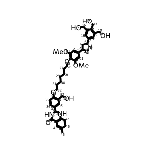 COc1cc(C2CC(c3cc(CO)c(CO)c(CO)c3)=NO2)cc(OC)c1OCCCCCCCOc1ccc(C2NC(=O)c3cc(C)ccc3N2)cc1CO